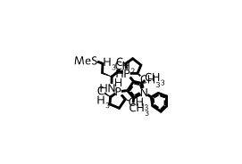 C=C1[C@H](CCSC)N[PH]2(c3c(c(C)n(-c4ccccc4)c3C)[PH]13[C@H](C)CC[C@H]3C)[C@H](C)CC[C@H]2C